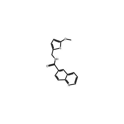 COc1ccc(CNC(=O)c2ccc3ncccc3c2)s1